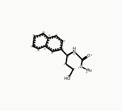 CC(C)(C)OC(=O)NC(CCO)c1ccc2ccccc2c1